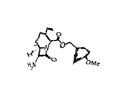 C=CC1=C(C(=O)OCc2ccc(OC)cc2)N2C(=O)[C@@H](N)[C@H]2SC1